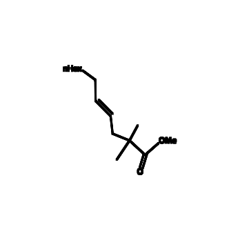 CCCCCCCC=CCC(C)(C)C(=O)OC